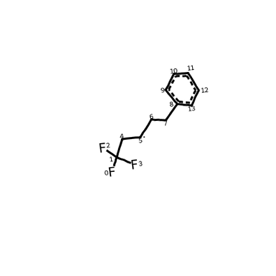 FC(F)(F)C[CH]CCc1ccccc1